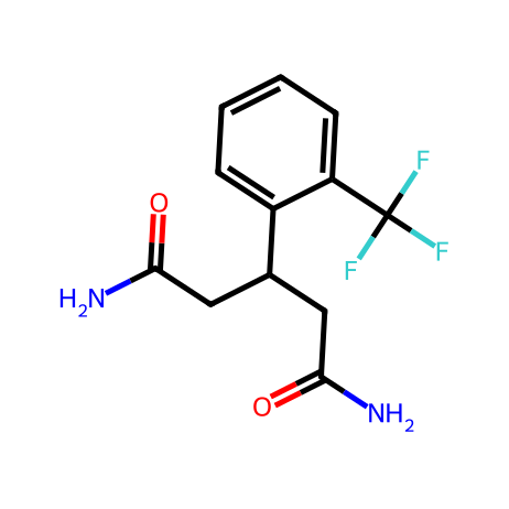 NC(=O)CC(CC(N)=O)c1ccccc1C(F)(F)F